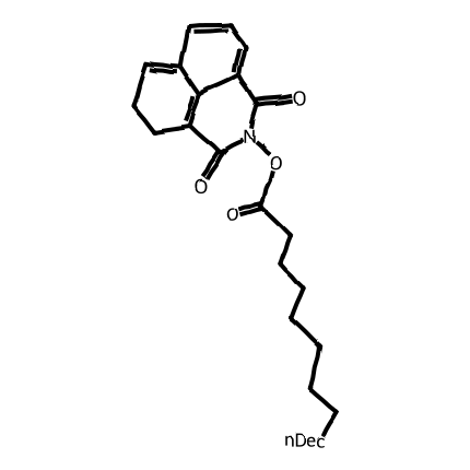 CCCCCCCCCCCCCCCCCC(=O)ON1C(=O)C2=c3c(cccc3=CCC2)C1=O